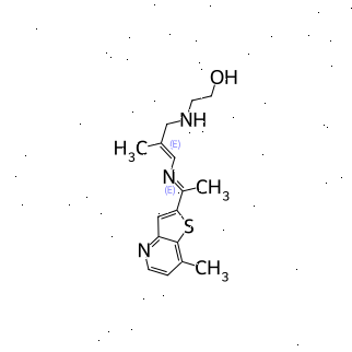 C/C(=C\N=C(/C)c1cc2nccc(C)c2s1)CNCCO